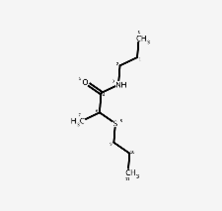 CCCNC(=O)C(C)SCCC